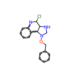 ClC1N=c2ccccc2=C2C1NCN2OCc1ccccc1